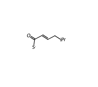 CC(C)C/C=C/C(=O)[S]